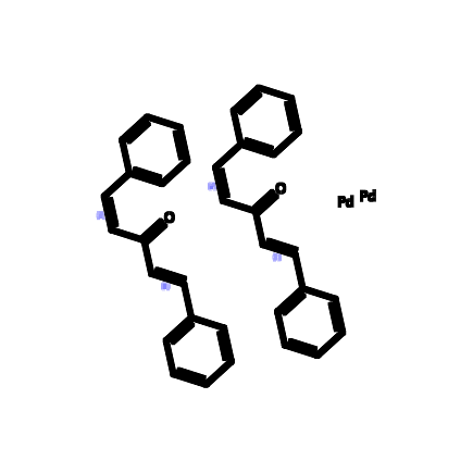 O=C(/C=C\c1ccccc1)/C=C/c1ccccc1.O=C(/C=C\c1ccccc1)/C=C/c1ccccc1.[Pd].[Pd]